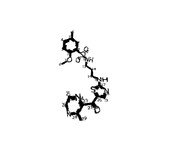 COc1ccc(C)cc1S(=O)(=O)NCCCNc1ncc(C(=O)c2nccnc2C)s1